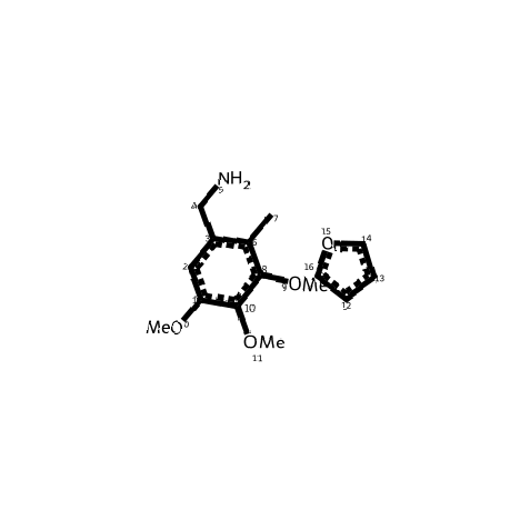 COc1cc(CN)c(C)c(OC)c1OC.c1ccoc1